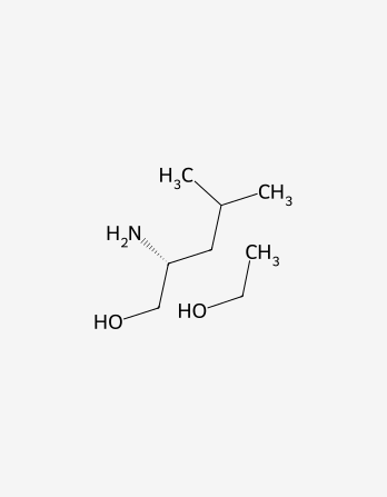 CC(C)C[C@@H](N)CO.CCO